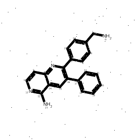 NCc1ccc(-c2nc3ccnc(N)c3cc2-c2ccccc2)cc1